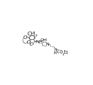 CCOC(=O)CNCCCN1CC[C@@H](CNC(=O)c2ccc(C)c3c2OCCCO3)[C@H](O)C1